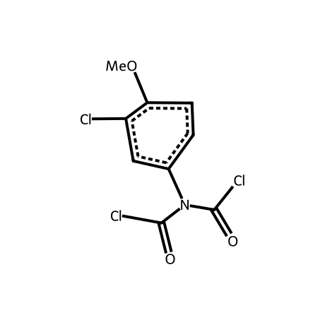 COc1ccc(N(C(=O)Cl)C(=O)Cl)cc1Cl